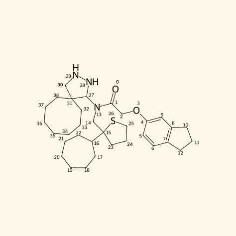 O=C(COc1ccc2c(c1)CCC2)N(CC1(C2CCCCCC2)CCCS1)C1NNCC12CCCCCCC2